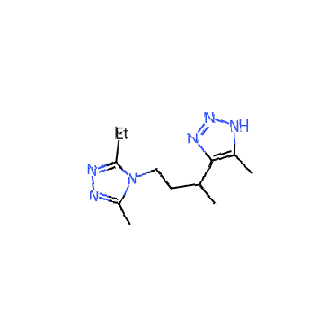 CCc1nnc(C)n1CCC(C)c1nn[nH]c1C